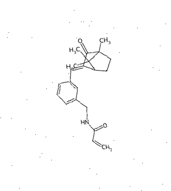 C=CC(=O)NCc1cccc(C=C2C(=O)C3(C)CCC2C3(C)C)c1